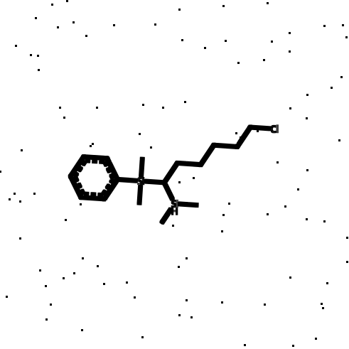 C[SiH](C)C(CCCCCCl)[Si](C)(C)c1ccccc1